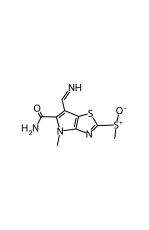 Cn1c(C(N)=O)c(C=N)c2sc([S+](C)[O-])nc21